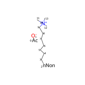 CC(=O)[O-].CCCCCCCCCCCCCCCC[N+](C)(C)C